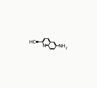 C#Cc1ccc2cc(N)ccc2n1